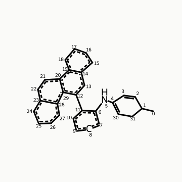 CC1C=CC(Nc2ccccc2-c2cc3ccccc3c3ccc4ccccc4c23)=CC1